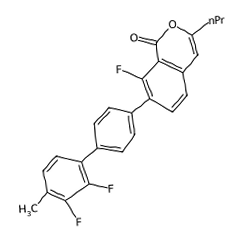 CCCc1cc2ccc(-c3ccc(-c4ccc(C)c(F)c4F)cc3)c(F)c2c(=O)o1